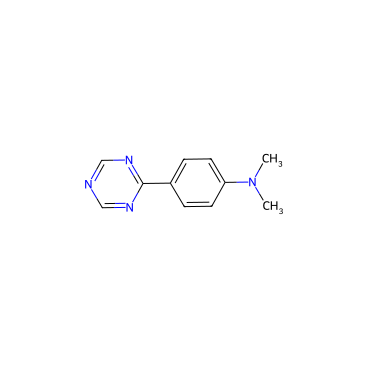 CN(C)c1ccc(-c2ncncn2)cc1